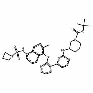 Cc1ccc2c(NS(=O)(=O)N3CCC3)cccc2c1Oc1ncccc1-c1ccnc(NC2CCCN(C(=O)OC(C)(C)C)C2)n1